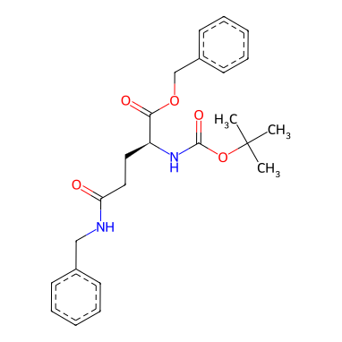 CC(C)(C)OC(=O)N[C@@H](CCC(=O)NCc1ccccc1)C(=O)OCc1ccccc1